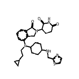 O=C1CCC(N2Cc3c(cccc3N(CCC3CC3)C3CCC(NCc4nccs4)CC3)C2=O)C(=O)N1